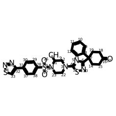 CC1CN(c2nc(C3(c4ccccc4)CCC(=O)CC3)ns2)CCN1S(=O)(=O)c1ccc(-c2csnn2)cc1